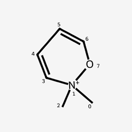 C[N+]1(C)C=CC=CO1